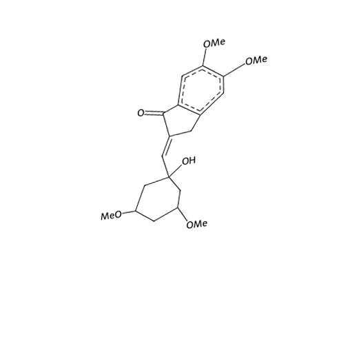 COc1cc2c(cc1OC)C(=O)C(=CC1(O)CC(OC)CC(OC)C1)C2